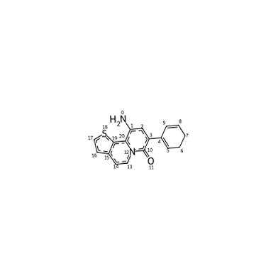 Nc1cc(C2=CCCC=C2)c(=O)n2ccc3ccsc3c12